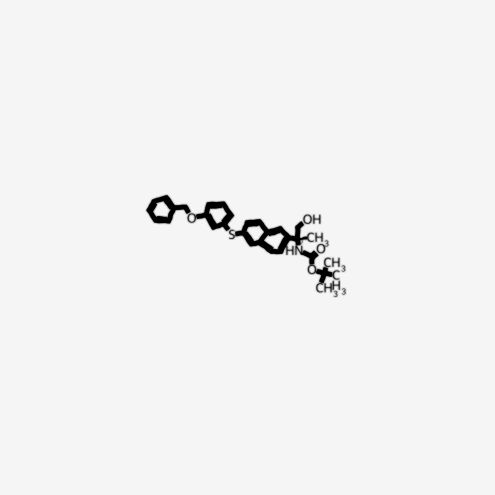 CC(C)(C)OC(=O)N[C@@](C)(CO)c1ccc2cc(Sc3cccc(OCc4ccccc4)c3)ccc2c1